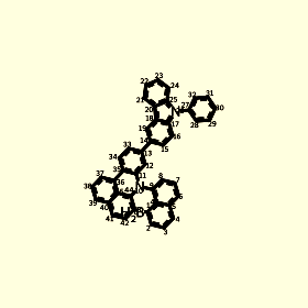 Bc1cccc2cccc(N3c4cc(-c5ccc6c(c5)c5ccccc5n6-c5ccccc5)ccc4-c4cccc5cccc3c45)c12